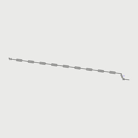 [3H]C#CC#CC#CC#CC#CC#CC#CC#CC#C/C=N/C